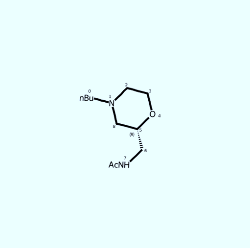 CCCCN1CCO[C@H](CNC(C)=O)C1